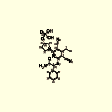 CCc1c(C#N)c(S[C@H](C(N)=O)c2ccccc2)nc(N2CC[C@H](OP(=O)(O)O)C2)c1C#N